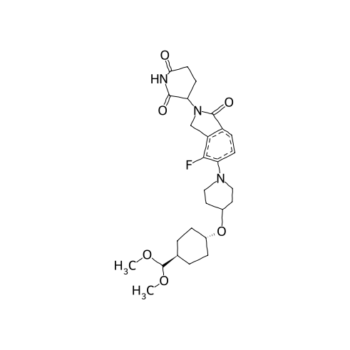 COC(OC)[C@H]1CC[C@H](OC2CCN(c3ccc4c(c3F)CN(C3CCC(=O)NC3=O)C4=O)CC2)CC1